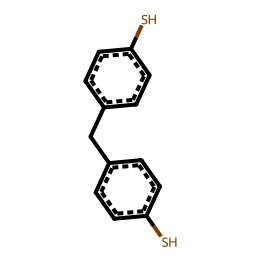 Sc1ccc(Cc2ccc(S)cc2)cc1